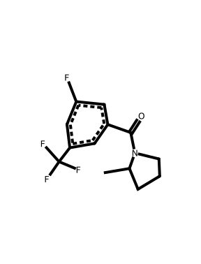 CC1CCCN1C(=O)c1cc(F)cc(C(F)(F)F)c1